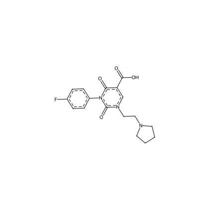 O=C(O)c1cn(CCN2CCCC2)c(=O)n(-c2ccc(F)cc2)c1=O